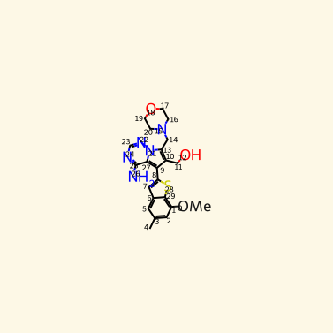 COc1cc(C)cc2cc(-c3c(CO)c(CN4CCOCC4)n4ncnc(N)c34)sc12